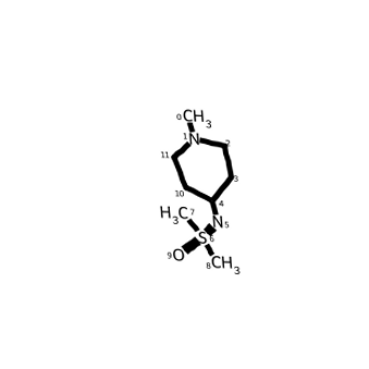 CN1CCC(N=S(C)(C)=O)CC1